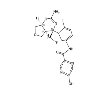 NC1=N[C@](C(F)F)(C2CC(NC(=O)c3cnc(O)cn3)=CC=C2F)[C@H]2COC[C@H]2O1